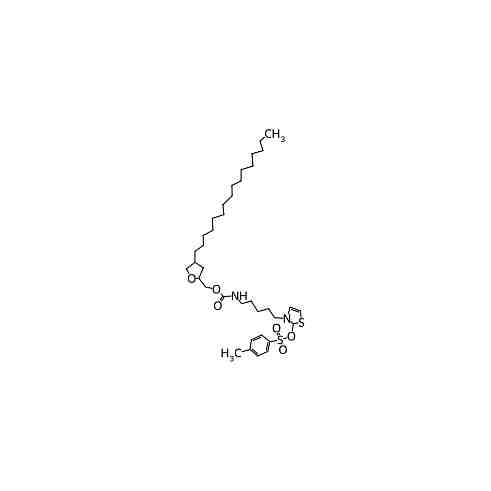 CCCCCCCCCCCCCCCCC1COC(COC(=O)NCCCCCN2C=CSC2OS(=O)(=O)c2ccc(C)cc2)C1